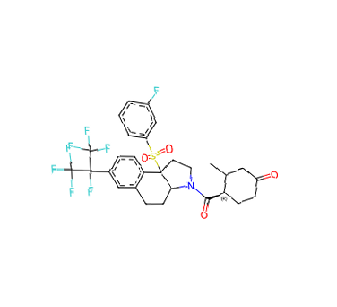 CC1CC(=O)CC[C@H]1C(=O)N1CCC2(S(=O)(=O)c3cccc(F)c3)c3ccc(C(F)(C(F)(F)F)C(F)(F)F)cc3CCC12